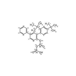 CC(C)(C)c1ccc(-c2cc(-c3ccccc3)ccc2O[PH](=O)O[PH](=O)O)c(C(C)(C)C)c1